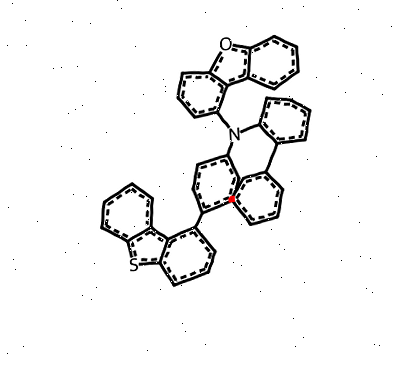 c1ccc(-c2ccccc2N(c2ccc(-c3cccc4sc5ccccc5c34)cc2)c2cccc3oc4ccccc4c23)cc1